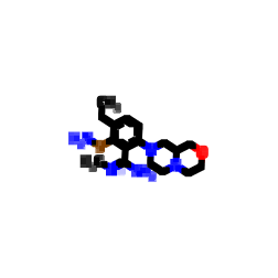 CCc1ccc(N2CCN3CCOCC3C2)c(/C(N)=N\C)c1SN